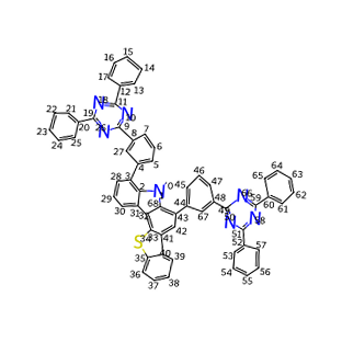 Cn1c2c(-c3cccc(-c4nc(-c5ccccc5)nc(-c5ccccc5)n4)c3)cccc2c2c3sc4ccccc4c3cc(-c3cccc(-c4nc(-c5ccccc5)nc(-c5ccccc5)n4)c3)c21